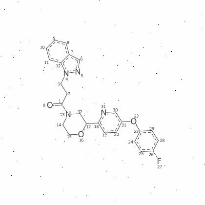 O=C(CCn1ncc2ccccc21)N1CCOC(c2ccc(Oc3ccc(F)cc3)cn2)C1